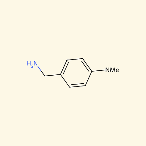 [CH2]Nc1ccc(CN)cc1